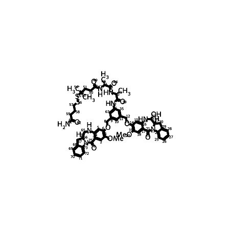 COc1cc2c(cc1OCc1cc(COc3cc4c(cc3OC)C(=O)N3c5ccccc5C[C@H]3C(O)N4)cc(NC(=O)[C@@H](C)NC(=O)[C@H](C)NC(=O)CCC(C)(C)SSCCCC(N)=O)c1)NC[C@@H]1Cc3ccccc3N1C2=O